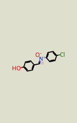 [O-]/[N+](=C\c1ccc(O)cc1)c1ccc(Cl)cc1